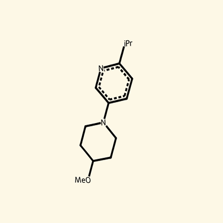 COC1CCN(c2ccc(C(C)C)nc2)CC1